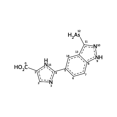 O=C(O)c1cnc(-c2ccc3[nH]nc([AsH2])c3c2)[nH]1